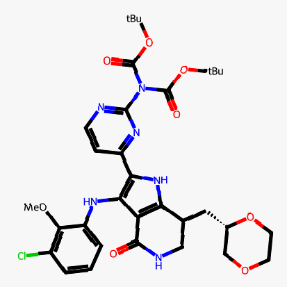 COc1c(Cl)cccc1Nc1c(-c2ccnc(N(C(=O)OC(C)(C)C)C(=O)OC(C)(C)C)n2)[nH]c2c1C(=O)NCC2C[C@H]1COCCO1